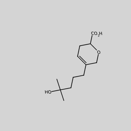 CC(C)(O)CCCC1=CCC(C(=O)O)OC1